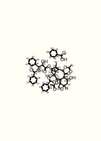 CC(=O)O[C@H]1C(=O)[C@@]2(C)[C@H]([C@H](OC(=O)c3ccccc3)[C@]3(O)C[C@H](OC(=O)[C@H](O)[C@@H](NC(=O)c4ccccc4)c4ccccc4)C(C)=C1C3(C)C)[C@]1(OC(C)=O)CO[C@@H]1C[C@@H]2O.O=C(O)c1ccccc1